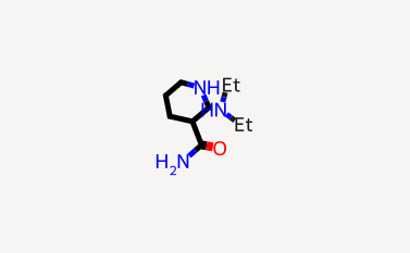 CCNCC.NC(=O)C1CCCNC1